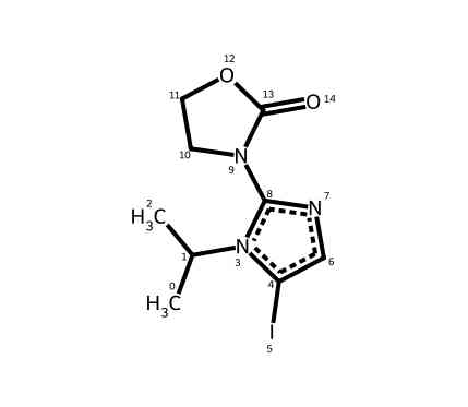 CC(C)n1c(I)cnc1N1CCOC1=O